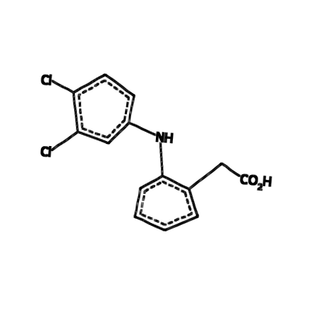 O=C(O)Cc1ccccc1Nc1ccc(Cl)c(Cl)c1